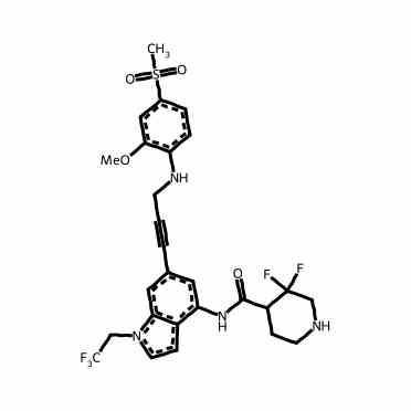 COc1cc(S(C)(=O)=O)ccc1NCC#Cc1cc(NC(=O)C2CCNCC2(F)F)c2ccn(CC(F)(F)F)c2c1